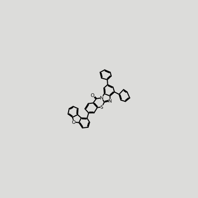 O=c1c2ccc(-c3cccc4oc5ccccc5c34)cc2sc2nc3c(-c4ccccc4)cc(-c4ccccc4)cc3n12